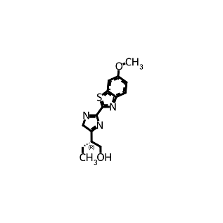 CC[C@@H](CO)C1=NC(c2nc3ccc(OC)cc3s2)=NC1